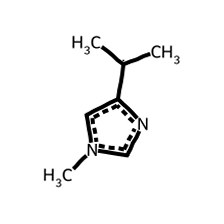 C[C](C)c1cn(C)cn1